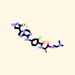 C[C@@H](NC(=O)c1ccc(Nc2nccn3c(-c4c[nH]nc4C(F)(F)F)cnc23)cc1Cl)C(=O)NCCN(C)C